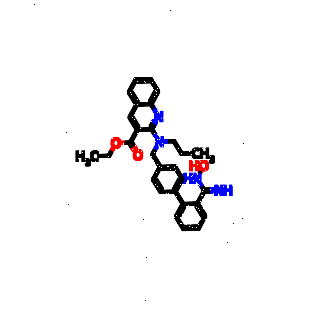 CCCN(Cc1ccc(-c2ccccc2C(=N)NO)cc1)c1nc2ccccc2cc1C(=O)OCC